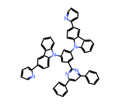 c1ccc(-c2cc(-c3ccccc3)nc(-c3cc(-n4c5ccccc5c5cc(-c6ccccn6)ccc54)cc(-n4c5ccccc5c5cc(-c6ccccn6)ccc54)c3)n2)cc1